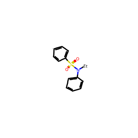 CCN(c1ccccc1)S(=O)(=O)c1cc[c]cc1